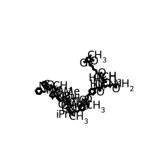 CC[C@H](C)[C@@H]([C@@H](CC(=O)N1CCC[C@H]1[C@H](OC)[C@@H](C)C(=O)N[C@@H](Cc1ccccc1)c1nccs1)OC)N(C)C(=O)[C@H](C)NC(=O)[C@H](C(C)C)N(C)CCc1ccc(N(C)C(=O)OCc2ccc(NC(=O)[C@H](CCCNC(N)=O)NC(=O)[C@H](C)NC(=O)CCCCCN3C(=O)CC(C)C3=O)cc2)cc1